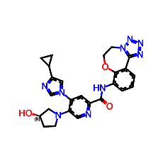 O=C(Nc1cccc2c1OCCn1nnnc1-2)c1cc(-n2cnc(C3CC3)c2)c(N2CC[C@@H](O)C2)cn1